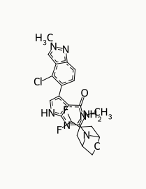 Cn1cc2c(Cl)c(-c3c[nH]c4nc(N5C6CCC5CC(N)(C(F)F)C6)n(C)c(=O)c34)ccc2n1